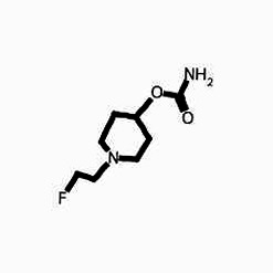 NC(=O)OC1CCN(CCF)CC1